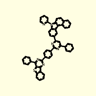 c1ccc(-c2cc(-c3ccc4c(c3)c3c5ccccc5ccc3n4-c3ccccn3)nc(-c3ccc(-c4nc(-c5ccccc5)c5sc6ccccc6c5n4)cc3)n2)cc1